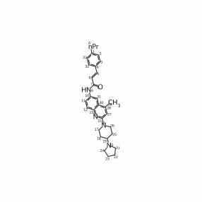 CCCc1ccc(C=CC(=O)Nc2ccc3nc(N4CCC(N5CCCC5)CC4)cc(C)c3c2)cc1